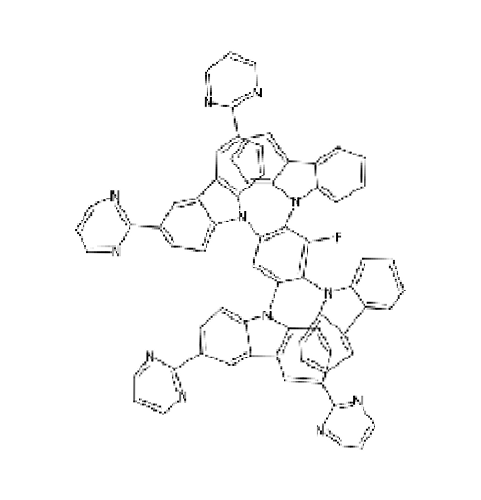 Fc1c(-n2c3ccccc3c3ccccc32)c(-n2c3ccc(-c4ncccn4)cc3c3cc(-c4ncccn4)ccc32)cc(-n2c3ccc(-c4ncccn4)cc3c3cc(-c4ncccn4)ccc32)c1-n1c2ccccc2c2ccccc21